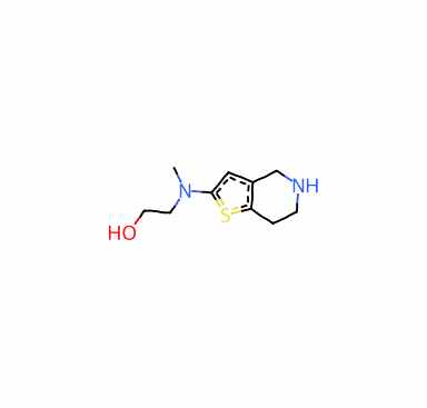 CN(CCO)c1cc2c(s1)CCNC2